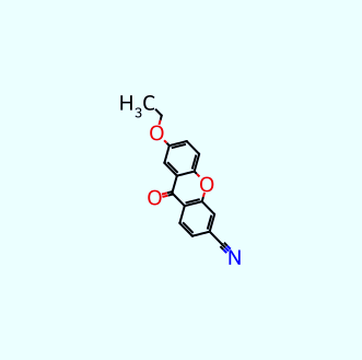 CCOc1ccc2oc3cc(C#N)ccc3c(=O)c2c1